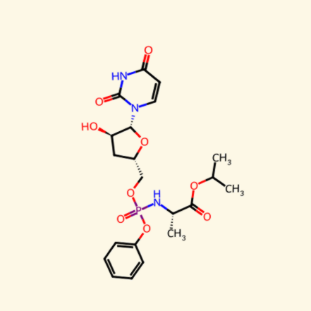 CC(C)OC(=O)[C@H](C)NP(=O)(OC[C@@H]1C[C@@H](O)[C@H](n2ccc(=O)[nH]c2=O)O1)Oc1ccccc1